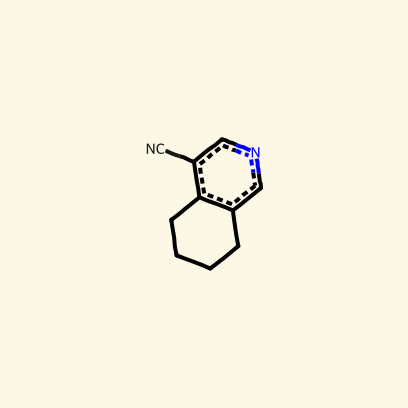 N#Cc1cncc2c1CCCC2